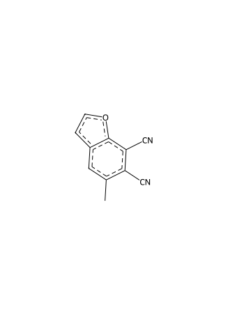 Cc1cc2ccoc2c(C#N)c1C#N